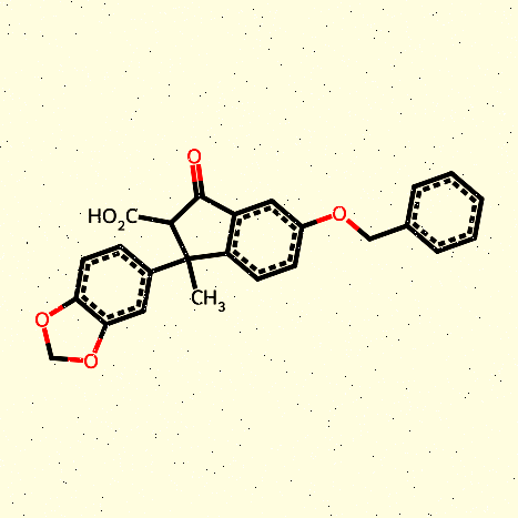 CC1(c2ccc3c(c2)OCO3)c2ccc(OCc3ccccc3)cc2C(=O)C1C(=O)O